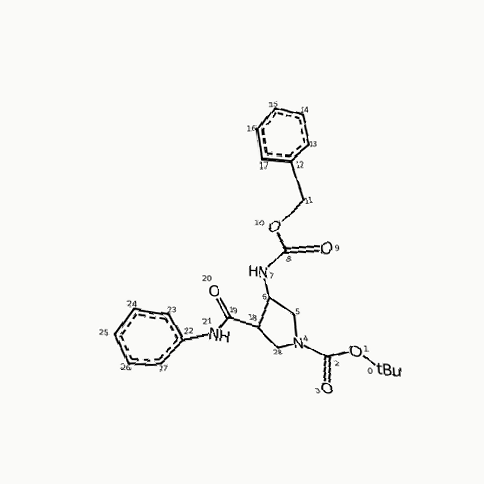 CC(C)(C)OC(=O)N1CC(NC(=O)OCc2ccccc2)C(C(=O)Nc2ccccc2)C1